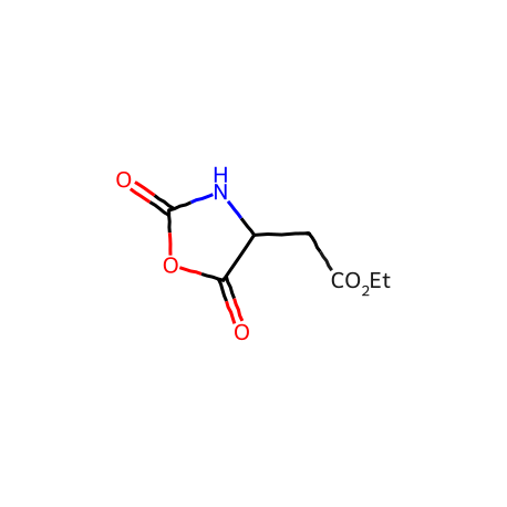 CCOC(=O)CC1NC(=O)OC1=O